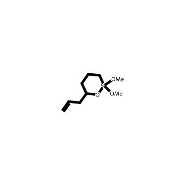 C=CCC1CCC[Si](OC)(OC)O1